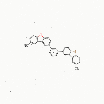 N#Cc1ccc2oc3ccc(-c4cccc(-c5ccc6sc7ccc(C#N)cc7c6c5)c4)cc3c2c1